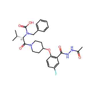 CC(=O)NNC(=O)c1cc(F)ccc1OC1CCN(C(=O)[C@H](C(C)C)N(Cc2ccccc2)C(=O)O)CC1